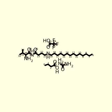 CCCC(=O)O.CCCCCCCCCCCCCCNCCCC(=O)NC(=O)C(N)C(C)C.NC(N)=O.O=C(O)C(F)(F)F